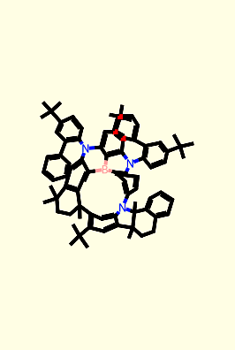 CC(C)(C)c1ccc(N2c3ccc4cc3B3c5cc6c(cc5N(c5ccc(C(C)(C)C)cc5-c5ccccc5)c5cc(C(C)(C)C)cc2c53)C(C)(C)CCC6(C)c2cc3c(cc2C(C)(C)C)C2(C)CCc5ccccc5C2(C)N43)c(-c2ccccc2)c1